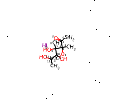 COC(C)(C(=O)[SiH3])C(C)(O)C(O)C(C)O.I